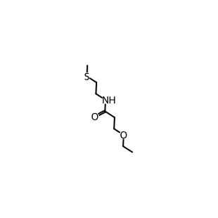 CCOCCC(=O)NCCSC